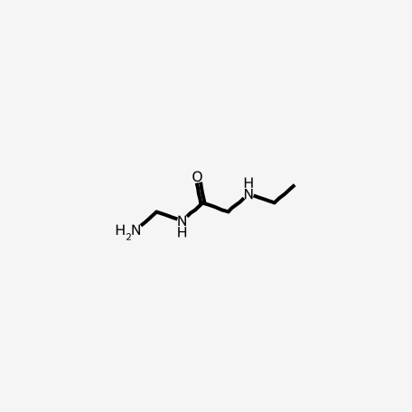 CCNCC(=O)NCN